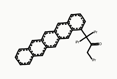 CC(C)CC(=O)C(c1cccc2cc3cc4cc5ccccc5cc4cc3cc12)(C(C)C)C(C)C